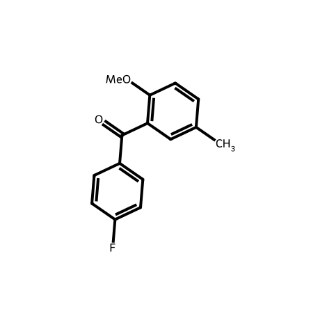 COc1ccc(C)cc1C(=O)c1ccc(F)cc1